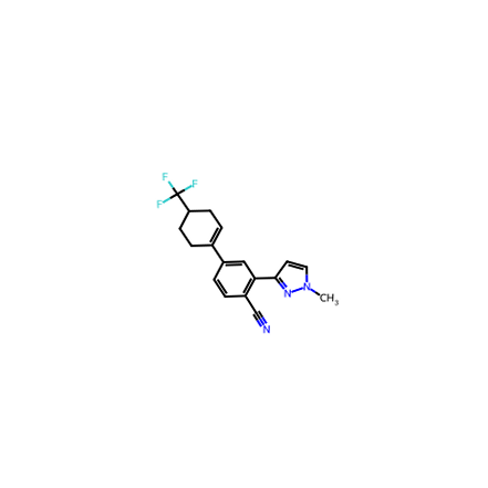 Cn1ccc(-c2cc(C3=CCC(C(F)(F)F)CC3)ccc2C#N)n1